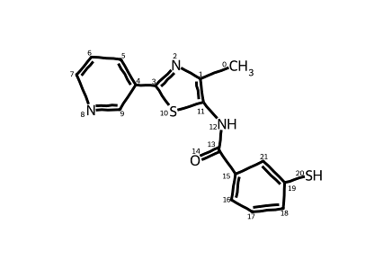 Cc1nc(-c2cccnc2)sc1NC(=O)c1cccc(S)c1